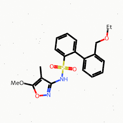 CCOCc1ccccc1-c1ccccc1S(=O)(=O)Nc1noc(OC)c1C